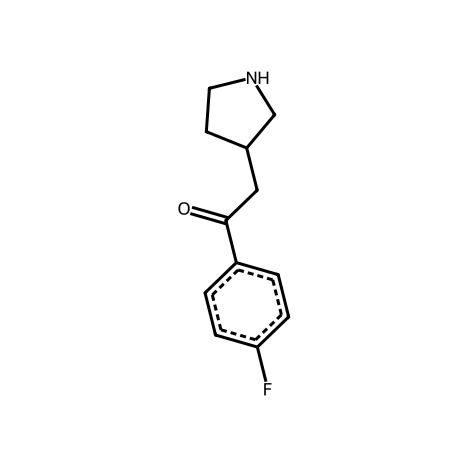 O=C(CC1CCNC1)c1ccc(F)cc1